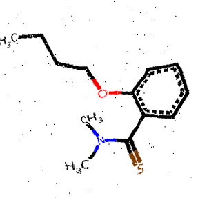 CCCCOc1ccccc1C(=S)N(C)C